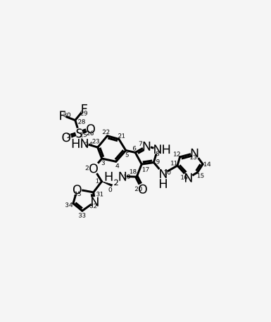 C[C@H](Oc1cc(-c2n[nH]c(Nc3cnccn3)c2C(N)=O)ccc1NS(=O)(=O)C(F)F)c1ncco1